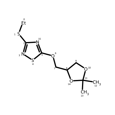 CCSc1nsc(OCC2COC(C)(C)O2)n1